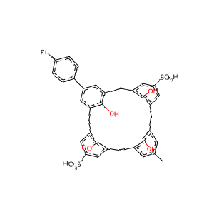 CCc1ccc(-c2cc3c(O)c(c2)Cc2cc(S(=O)(=O)O)cc(c2O)Cc2cc(C)cc(c2O)Cc2cc(S(=O)(=O)O)cc(c2O)C3)cc1